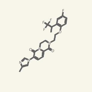 Cc1cn(-c2ccc3n(c2=O)CCN(CCOc2ccc(F)cc2C(C)C(F)(F)F)C3=O)cn1